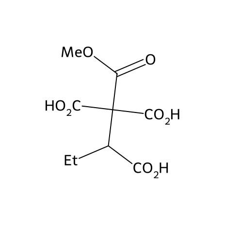 CCC(C(=O)O)C(C(=O)O)(C(=O)O)C(=O)OC